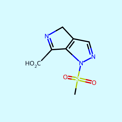 CS(=O)(=O)n1ncc2c1C(C(=O)O)=NC2